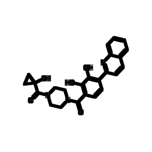 O=C(c1ccc(-c2ccc3ccccc3n2)c(O)c1O)N1CCN(C(=O)C2(O)CC2)CC1